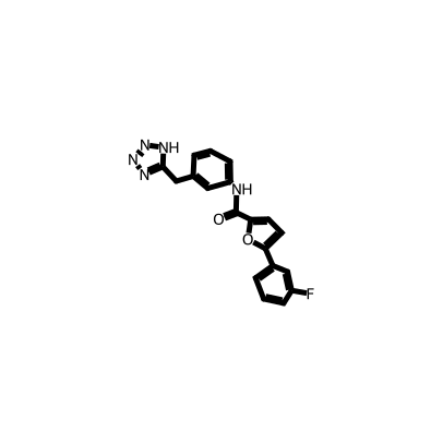 O=C(Nc1cccc(Cc2nnn[nH]2)c1)c1ccc(-c2cccc(F)c2)o1